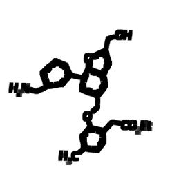 CCOC(=O)Cc1ccc(C)cc1OCc1cc(-c2cccc(CN)c2)c2oc(CO)cc2c1